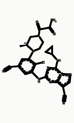 C[C@H]1CN(C(=O)C(N)=O)CCN1c1cc(C#N)cc(Nc2nc(NC3CC3)n3ncc(C#N)c3n2)c1Cl